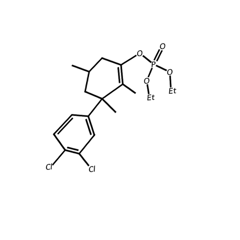 CCOP(=O)(OCC)OC1=C(C)C(C)(c2ccc(Cl)c(Cl)c2)CC(C)C1